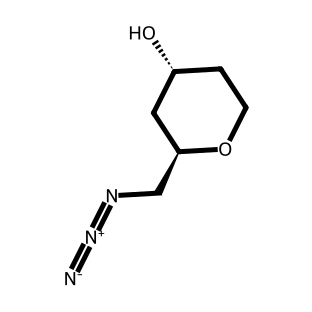 [N-]=[N+]=NC[C@H]1C[C@H](O)CCO1